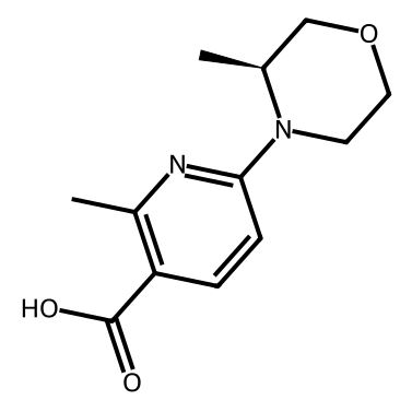 Cc1nc(N2CCOC[C@@H]2C)ccc1C(=O)O